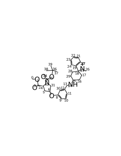 COC(=O)[C@@H]1C[C@H](Oc2cccc(CNC3CCC(c4ccccc4)(N(C)C)CC3)c2)CN1C(=O)OC(C)(C)C